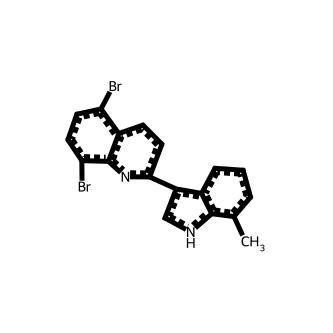 Cc1cccc2c(-c3ccc4c(Br)ccc(Br)c4n3)c[nH]c12